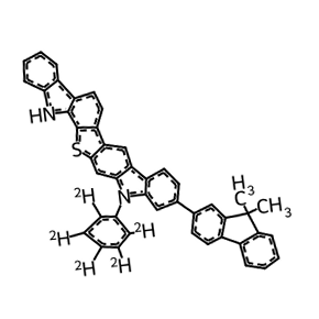 [2H]c1c([2H])c([2H])c(-n2c3cc(-c4ccc5c(c4)C(C)(C)c4ccccc4-5)ccc3c3cc4c(cc32)sc2c4ccc3c4ccccc4[nH]c32)c([2H])c1[2H]